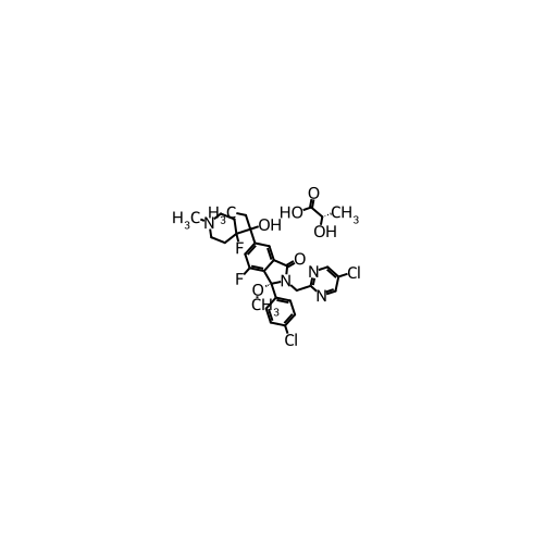 CCC(O)(c1cc(F)c2c(c1)C(=O)N(Cc1ncc(Cl)cn1)[C@@]2(OC)c1ccc(Cl)cc1)C1(F)CCN(C)CC1.C[C@H](O)C(=O)O